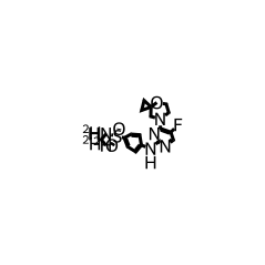 [2H]C([2H])([2H])NS(=O)(=O)c1ccc(Nc2ncc(F)c(N3CCOC4(CC4)C3)n2)cc1